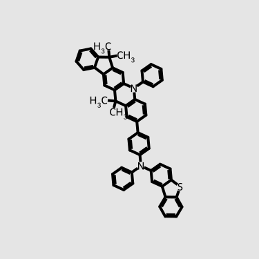 CC1(C)c2ccccc2-c2cc3c(cc21)N(c1ccccc1)c1ccc(-c2ccc(N(c4ccccc4)c4ccc5sc6ccccc6c5c4)cc2)cc1C3(C)C